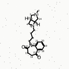 CN1C[C@@H]2CN(CCCCN3C(=O)CCC(=O)c4ccccc43)[C@H]2C1